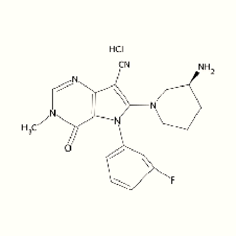 Cl.Cn1cnc2c(C#N)c(N3CCC[C@H](N)C3)n(-c3cccc(F)c3)c2c1=O